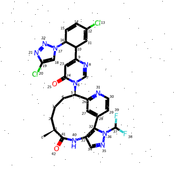 C[C@H]1CCC[C@@H](n2cnc(C3C=C(Cl)C=CC3n3cc(Cl)nn3)cc2=O)c2cc(ccn2)-c2c(cnn2C(F)F)NC1=O